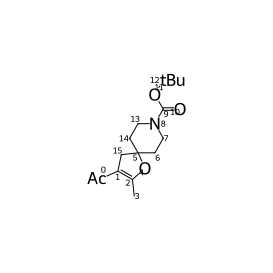 CC(=O)C1=C(C)OC2(CCN(C(=O)OC(C)(C)C)CC2)C1